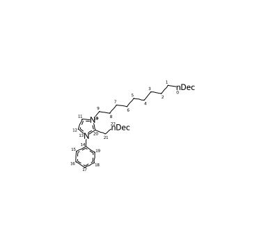 CCCCCCCCCCCCCCCCCCC[n+]1ccn(-c2ccccc2)c1CCCCCCCCCCC